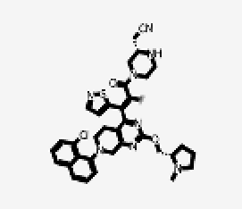 CN1CCC[C@H]1COc1nc2c(c(C(=C(F)C(=O)N3CCN[C@@H](CC#N)C3)c3ccns3)n1)CCN(c1cccc3cccc(Cl)c13)C2